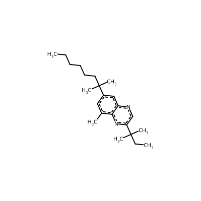 CCCCCCC(C)(C)c1cc(C)c2nc(C(C)(C)CC)cnc2c1